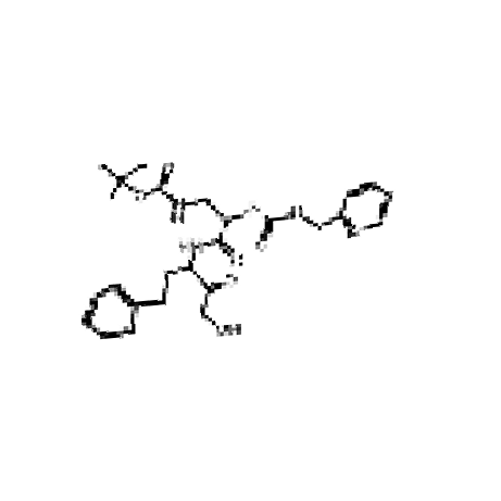 CC(C)(C)OC(=O)NCC(NC(=O)OCc1ccccc1)C(=O)NC(CCc1ccccc1)C(=O)CO